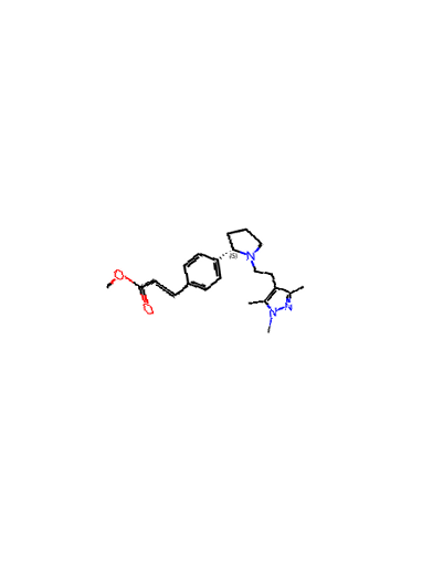 COC(=O)C=Cc1ccc([C@@H]2CCCN2CCc2c(C)nn(C)c2C)cc1